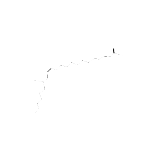 CCCCCCC(O)C/C=C\CCCCCCCCCCCC(=O)O